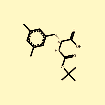 Cc1cc(C)cc(C[C@@H](NC(=O)OC(C)(C)C)C(=O)O)c1